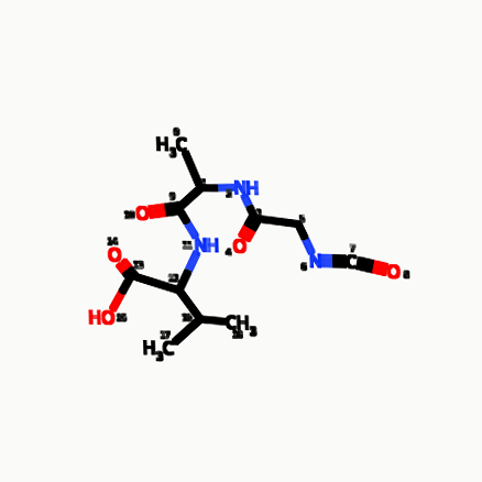 CC(NC(=O)CN=C=O)C(=O)NC(C(=O)O)C(C)C